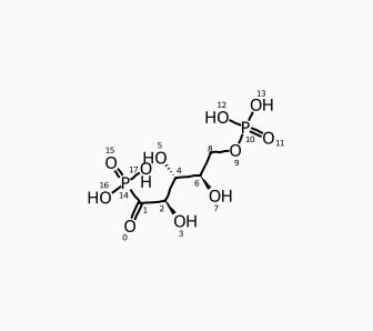 O=C([C@H](O)[C@H](O)[C@H](O)COP(=O)(O)O)P(=O)(O)O